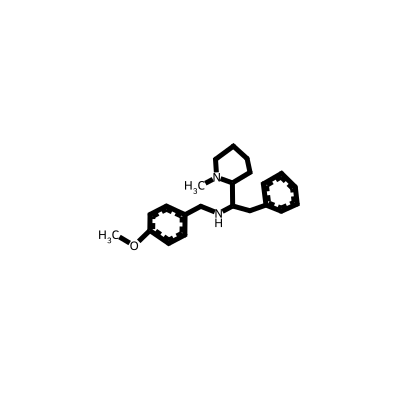 COc1ccc(CNC(Cc2ccccc2)C2CCCCN2C)cc1